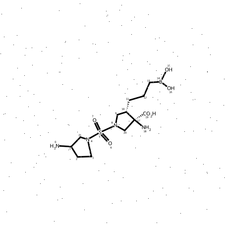 NC1CCN(S(=O)(=O)N2C[C@H](CCCB(O)O)[C@](N)(C(=O)O)C2)C1